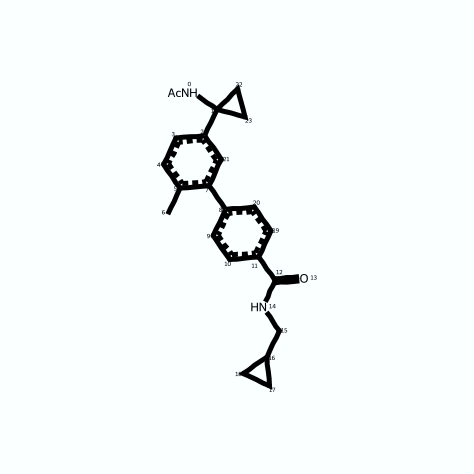 CC(=O)NC1(c2ccc(C)c(-c3ccc(C(=O)NCC4CC4)cc3)c2)CC1